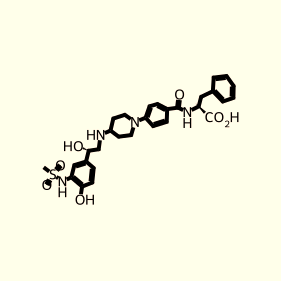 CS(=O)(=O)Nc1cc([C@H](O)CNC2CCN(c3ccc(C(=O)N[C@@H](Cc4ccccc4)C(=O)O)cc3)CC2)ccc1O